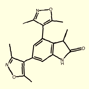 Cc1noc(C)c1-c1cc2c(c(-c3c(C)noc3C)c1)C(C)C(=O)N2